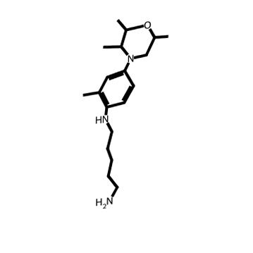 Cc1cc(N2CC(C)OC(C)C2C)ccc1NCCCCCN